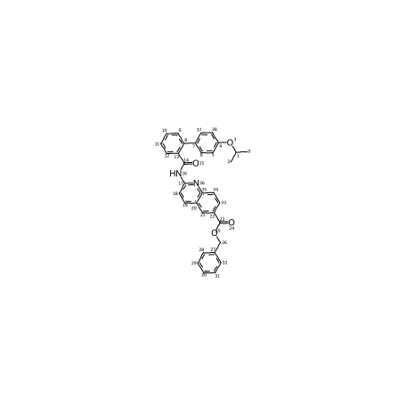 CC(C)Oc1ccc(-c2ccccc2C(=O)Nc2ccc3cc(C(=O)OCc4ccccc4)ccc3n2)cc1